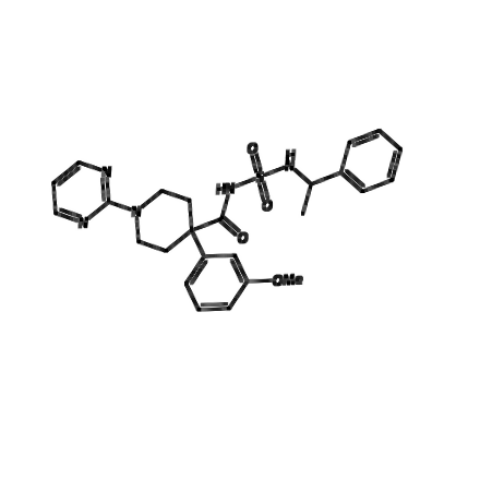 COc1cccc(C2(C(=O)NS(=O)(=O)NC(C)c3ccccc3)CCN(c3ncccn3)CC2)c1